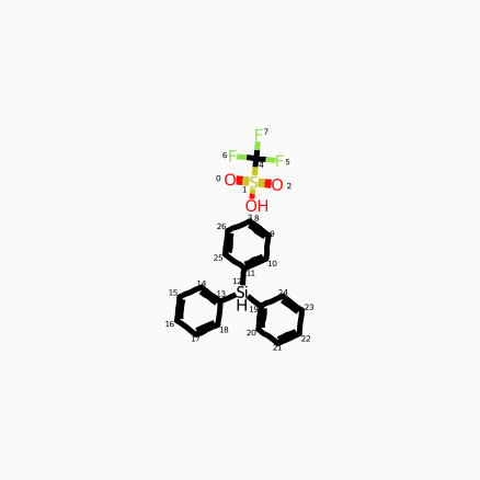 O=S(=O)(O)C(F)(F)F.c1ccc([SiH](c2ccccc2)c2ccccc2)cc1